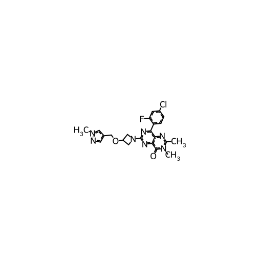 Cc1nc2c(-c3ccc(Cl)cc3F)nc(N3CC(OCc4cnn(C)c4)C3)nc2c(=O)n1C